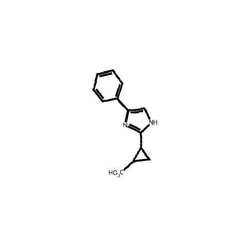 O=C(O)C1CC1c1nc(-c2ccccc2)c[nH]1